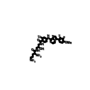 CCc1cc(Nc2nccn3c(-c4ccc(OC)c(F)c4F)cnc23)ccc1C(=O)NCC(O)CNC(=O)C(N)CCCN